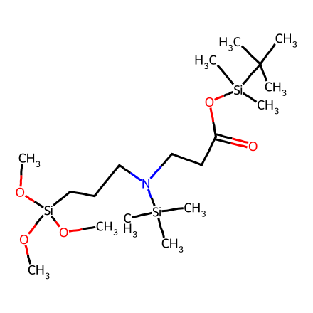 CO[Si](CCCN(CCC(=O)O[Si](C)(C)C(C)(C)C)[Si](C)(C)C)(OC)OC